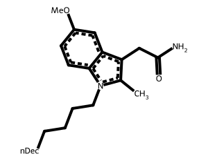 CCCCCCCCCCCCCCn1c(C)c(CC(N)=O)c2cc(OC)ccc21